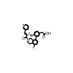 COc1ccc(CC(=O)O)cc1-c1ccc(F)c2c1CN(C(=O)/C=C/c1cccnc1)CC2